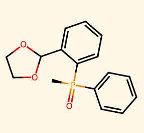 C[P@](=O)(c1ccccc1)c1ccccc1C1OCCO1